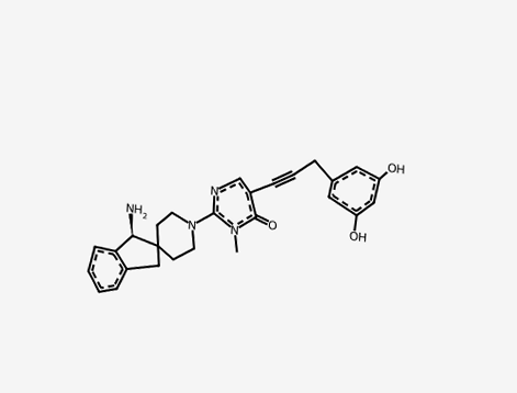 Cn1c(N2CCC3(CC2)Cc2ccccc2[C@H]3N)ncc(C#CCc2cc(O)cc(O)c2)c1=O